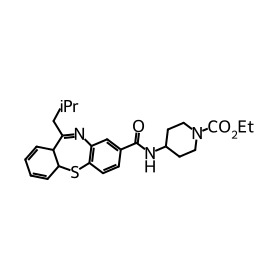 CCOC(=O)N1CCC(NC(=O)c2ccc3c(c2)N=C(CC(C)C)C2C=CC=CC2S3)CC1